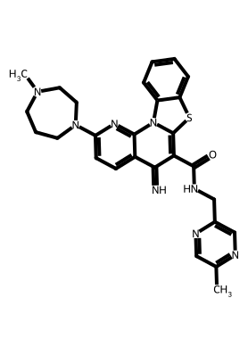 Cc1cnc(CNC(=O)c2c(=N)c3ccc(N4CCCN(C)CC4)nc3n3c2sc2ccccc23)cn1